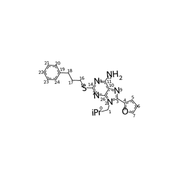 CC(C)Cn1c(-c2ccco2)nc2c(N)nc(SCCCc3ccccc3)nc21